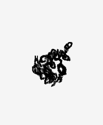 C[C@@H]1CN(CC(=O)N2c3cc(Cc4ccc(F)cc4)c(C(=O)NC[C@@H]4CCOC4)nc3OC[C@@H]2C)[C@@H](CN2[C@H](C)COC[C@H]2C)CN1C(=O)O